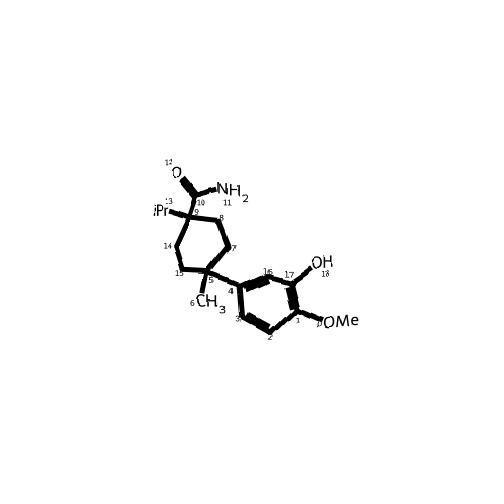 COc1ccc(C2(C)CCC(C(N)=O)(C(C)C)CC2)cc1O